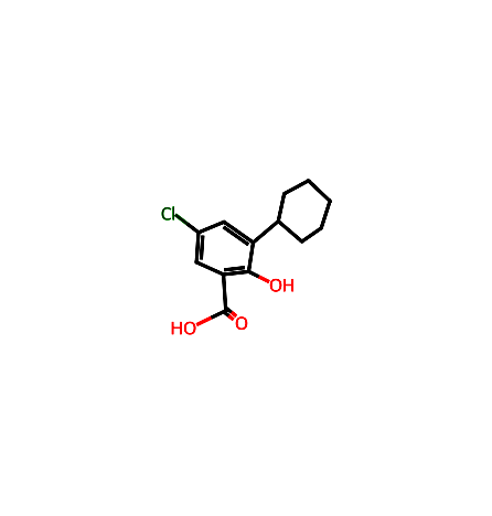 O=C(O)c1cc(Cl)cc(C2CCCCC2)c1O